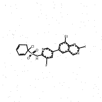 CCc1cc(-c2cnc(NS(=O)(=O)C3(Cl)C=CC=CC3)c(F)c2)cc2cnc(I)nc12